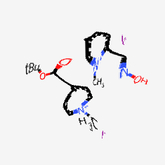 C[n+]1ccc(C(=O)OC(C)(C)C)cc1.C[n+]1ccccc1C=NO.[I-].[I-]